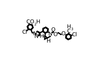 Cc1c(Cl)cccc1OCCOC(=O)N1C[C@@H]2C[C@@H]2c2c(-c3cnn(Cc4ccc(C(=O)O)cc4Cl)c3)cccc21